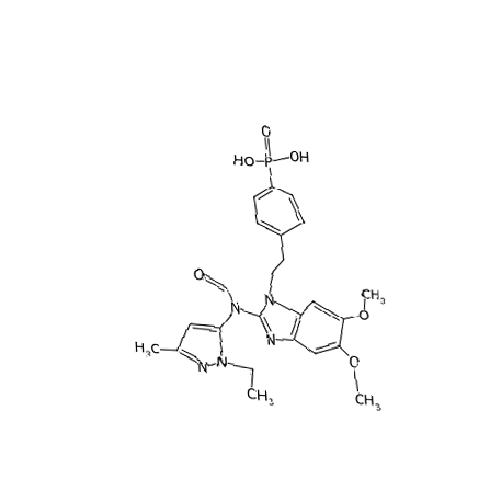 CCn1nc(C)cc1N(C=O)c1nc2cc(OC)c(OC)cc2n1CCc1ccc(P(=O)(O)O)cc1